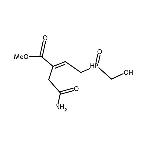 COC(=O)C(=CC[PH](=O)CO)CC(N)=O